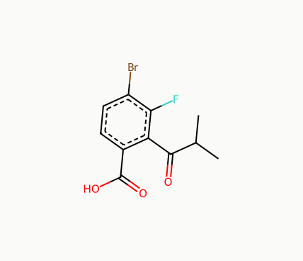 CC(C)C(=O)c1c(C(=O)O)ccc(Br)c1F